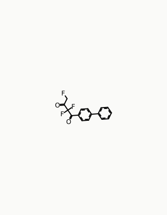 O=C(CF)C(F)(F)C(=O)c1ccc(-c2ccccc2)cc1